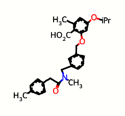 Cc1ccc(CC(=O)N(C)Cc2cccc(COc3cc(OC(C)C)cc(C)c3C(=O)O)c2)cc1